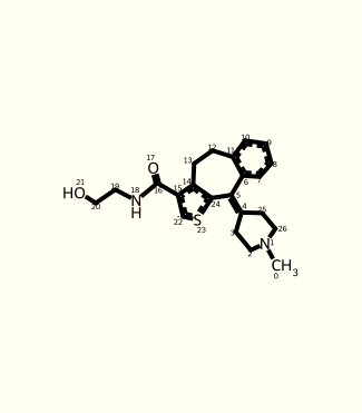 CN1CCC(=C2c3ccccc3CCc3c(C(=O)NCCO)[c]sc32)CC1